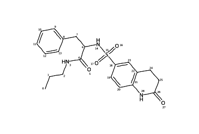 CCCNC(=O)C(Cc1ccccc1)NS(=O)(=O)c1ccc2c(c1)CCC(=O)N2